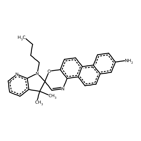 CCCCN1c2ncccc2C(C)(C)C12C=Nc1c(ccc3c1ccc1cc(N)ccc13)O2